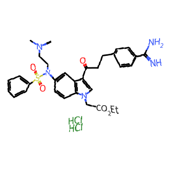 CCOC(=O)Cn1cc(C(=O)CCc2ccc(C(=N)N)cc2)c2cc(N(CCN(C)C)S(=O)(=O)c3ccccc3)ccc21.Cl.Cl